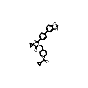 O=C(C1CC1)N1CCC(CN2C(=O)C3(CC3)N=C2c2ccc(-c3ccc4ocnc4c3)cc2)CC1